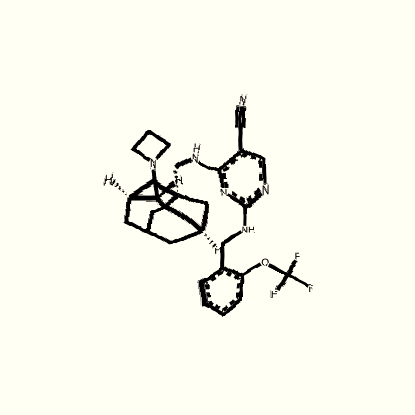 N#Cc1cnc(NCc2ccccc2OC(F)(F)F)nc1NC[C@@]12CC3C[C@H](C1)[C@@H](N1CCC1)[C@@H](C3)C2